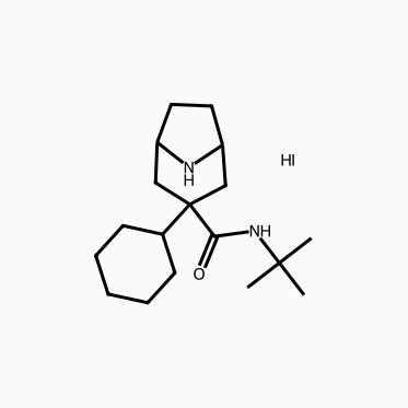 CC(C)(C)NC(=O)C1(C2CCCCC2)CC2CCC(C1)N2.I